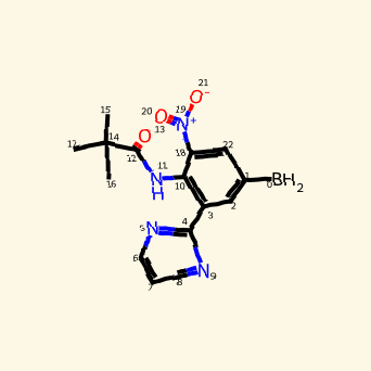 Bc1cc(-c2ncccn2)c(NC(=O)C(C)(C)C)c([N+](=O)[O-])c1